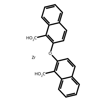 O=C(O)c1c(Oc2ccc3ccccc3c2C(=O)O)ccc2ccccc12.[Zr]